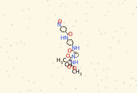 COC(=O)N[C@H](C(=O)N1CCC[C@H]1C(=O)Nc1ccc(NC(=O)c2ccc(N=O)cc2)cc1)C(C)C